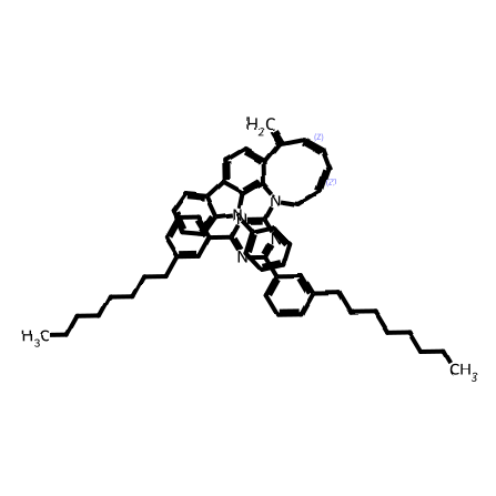 C=C1/C=C\C=C/CN(c2nc(-c3cccc(CCCCCCCC)c3)nc(-c3cccc(CCCCCCCC)c3)n2)c2c1ccc1c3ccccc3n(-c3ccccc3)c21